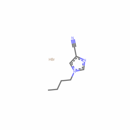 Br.CCCCn1cnc(C#N)c1